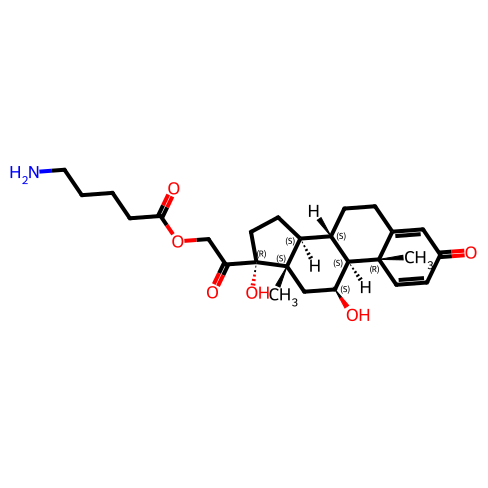 C[C@]12C=CC(=O)C=C1CC[C@@H]1[C@@H]2[C@@H](O)C[C@@]2(C)[C@H]1CC[C@]2(O)C(=O)COC(=O)CCCCN